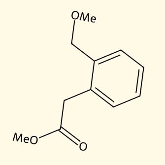 COCc1ccccc1CC(=O)OC